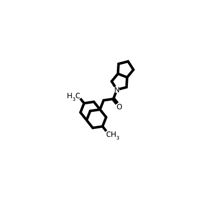 CC1CC2CC(C)CC(CC(=O)N3CC4CCCC4C3)(C1)C2